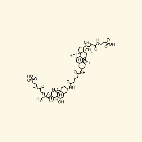 C[C@H](CCC(=O)NCCS(=O)(=O)O)[C@H]1CC[C@H]2[C@@H]3[C@@H](O)CC4C[C@H](NC(=O)CCCC(=O)N[C@H]5CC[C@]6(C)C(C5)C[C@@H](O)[C@@H]5[C@H]7CC[C@@H]([C@@H](C)CCC(=O)NCCS(=O)(=O)O)[C@]7(C)CC[C@H]56)CC[C@]4(C)[C@H]3CC[C@]12C